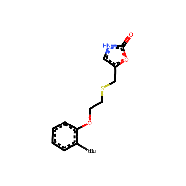 CC(C)(C)c1ccccc1OCCSCc1c[nH]c(=O)o1